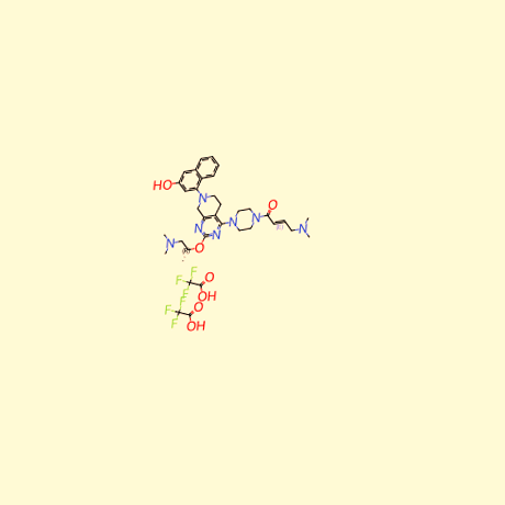 C[C@H](CN(C)C)Oc1nc2c(c(N3CCN(C(=O)/C=C/CN(C)C)CC3)n1)CCN(c1cc(O)cc3ccccc13)C2.O=C(O)C(F)(F)F.O=C(O)C(F)(F)F